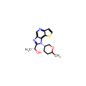 CC1CC[C@H](n2c([C@@H](C)O)nc3cnc4ccsc4c32)CO1